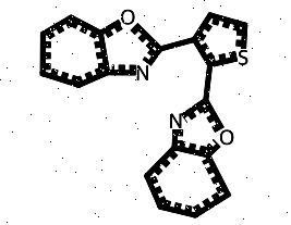 c1ccc2oc(-c3ccsc3-c3nc4ccccc4o3)nc2c1